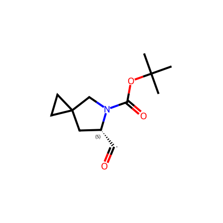 CC(C)(C)OC(=O)N1CC2(CC2)C[C@H]1[C]=O